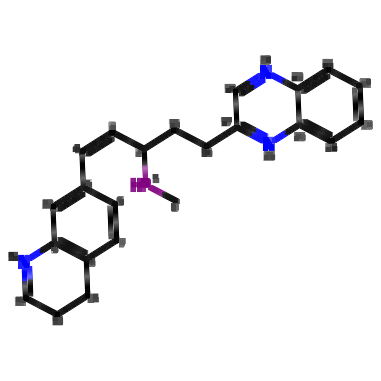 CPC(/C=C\c1ccc2c(c1)N=CCC2)CCc1cnc2ccccc2n1